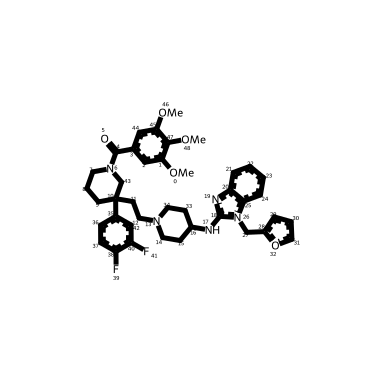 COc1cc(C(=O)N2CCCC(CCN3CCC(Nc4nc5ccccc5n4Cc4ccco4)CC3)(c3ccc(F)c(F)c3)C2)cc(OC)c1OC